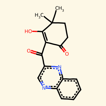 CC1(C)CCC(=O)C(C(=O)c2cnc3ccccc3n2)=C1O